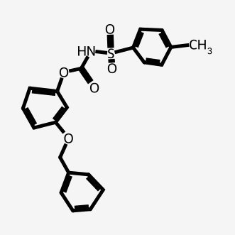 Cc1ccc(S(=O)(=O)NC(=O)Oc2cccc(OCc3ccccc3)c2)cc1